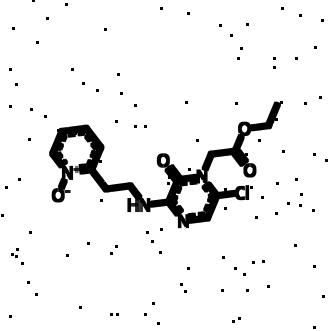 CCOC(=O)Cn1c(Cl)cnc(NCCc2cccc[n+]2[O-])c1=O